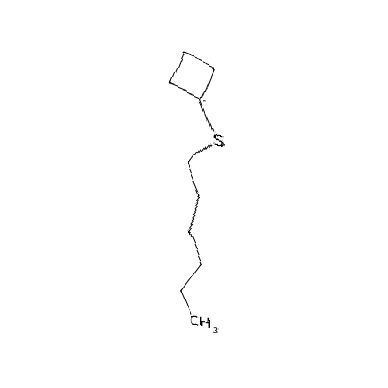 CCCCCCS[C]1CCC1